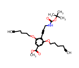 C#CCCCCOc1cc(C(=O)OC)cc(OCCCCC#C)c1C#CCNC(=O)OC(C)(C)C